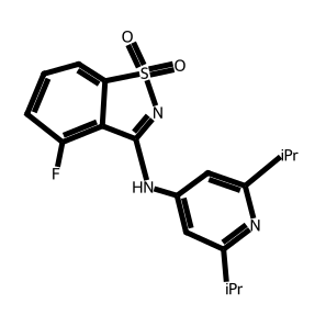 CC(C)c1cc(NC2=NS(=O)(=O)c3cccc(F)c32)cc(C(C)C)n1